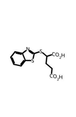 O=C(O)CCC(Sc1nc2ccccc2s1)C(=O)O